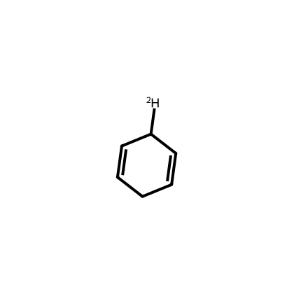 [2H]C1C=CCC=C1